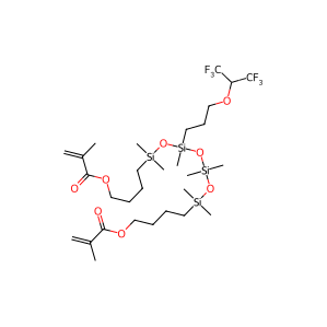 C=C(C)C(=O)OCCCC[Si](C)(C)O[Si](C)(C)O[Si](C)(CCCOC(C(F)(F)F)C(F)(F)F)O[Si](C)(C)CCCCOC(=O)C(=C)C